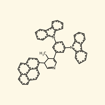 CC1C(c2cc(-n3c4ccccc4c4ccccc43)cc(-n3c4ccccc4c4ccccc43)c2)=CN=CC1c1ccc2ccc3cccc4ccc1c2c34